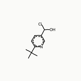 CC(C)(C)c1ccc(C(O)Cl)cn1